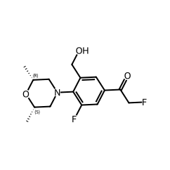 C[C@@H]1CN(c2c(F)cc(C(=O)CF)cc2CO)C[C@H](C)O1